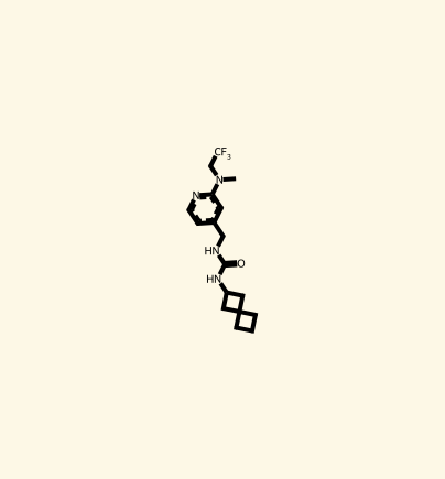 CN(CC(F)(F)F)c1cc(CNC(=O)NC2CC3(CCC3)C2)ccn1